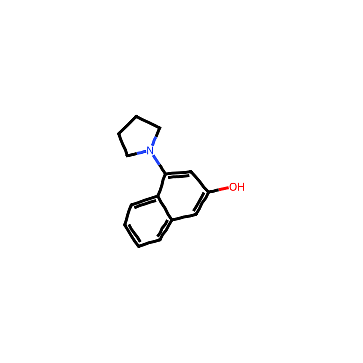 Oc1cc(N2CCCC2)c2ccccc2c1